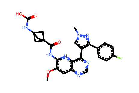 COc1cc2ncnc(-c3cn(C)nc3-c3ccc(F)cc3)c2nc1NC(=O)C12CC(NC(=O)O)(C1)C2